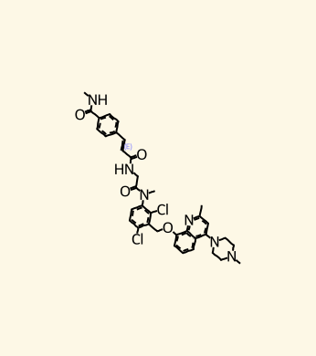 CNC(=O)c1ccc(/C=C/C(=O)NCC(=O)N(C)c2ccc(Cl)c(COc3cccc4c(N5CCN(C)CC5)cc(C)nc34)c2Cl)cc1